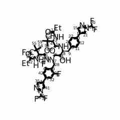 CCC(=O)NC(C(=O)N[C@@H](Cc1ccc(-c2cnn(C(F)F)c2)cc1)[C@@H](O)CN(Cc1c(F)cc(-c2cnn(C(F)F)c2)cc1F)NC(=O)C(NC(=O)CC)C(C)(C)C(F)(F)F)C(C)(C)C(F)(F)F